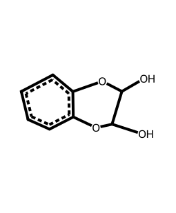 OC1Oc2ccccc2OC1O